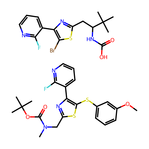 CC(C)(C)C(Cc1nc(-c2cccnc2F)c(Br)s1)NC(=O)O.COc1cccc(Sc2sc(CN(C)C(=O)OC(C)(C)C)nc2-c2cccnc2F)c1